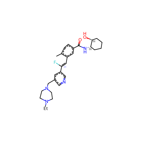 CCN1CCN(Cc2cncc(/C(F)=C/c3cc(C(=O)N[C@H]4CCCC[C@@H]4O)ccc3C)c2)CC1